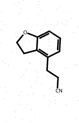 N#CCCc1cccc2c1CCO2